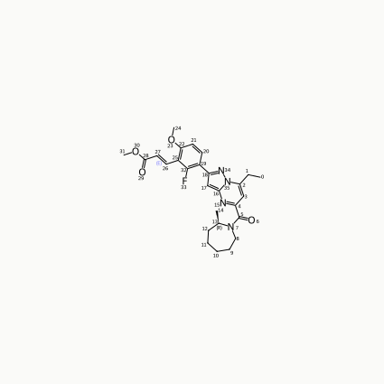 CCc1cc(C(=O)N2CCCCC[C@H]2C)nc2cc(-c3ccc(OC)c(/C=C/C(=O)OC)c3F)nn12